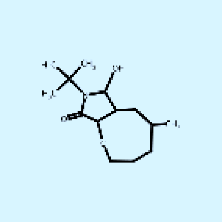 CC1CCCCC2C(=O)N(C(C)(C)C)C(O)C2C1